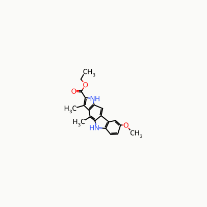 CCOC(=O)c1[nH]c2cc3c([nH]c4ccc(OC)cc43)c(C)c2c1C